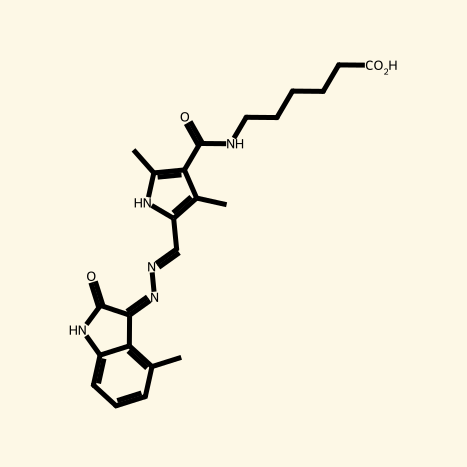 Cc1cccc2c1C(=NN=Cc1[nH]c(C)c(C(=O)NCCCCCC(=O)O)c1C)C(=O)N2